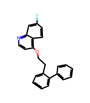 Fc1ccc2c(OCCc3ccccc3-c3ccccc3)ccnc2c1